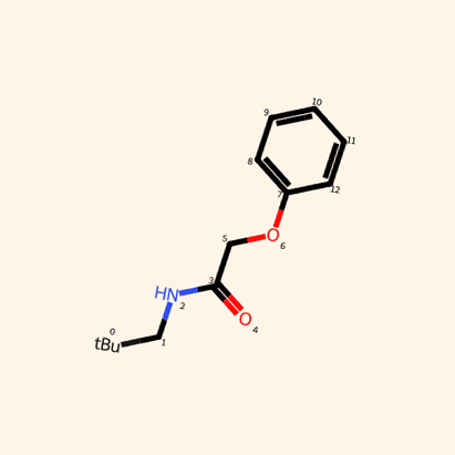 CC(C)(C)CNC(=O)COc1ccccc1